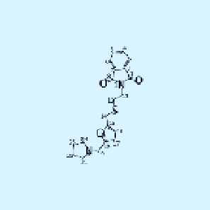 O=C1c2ccccc2C(=O)N1CCSCc1ccc(CN2CCCC2)o1